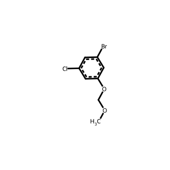 COCOc1cc(Cl)cc(Br)c1